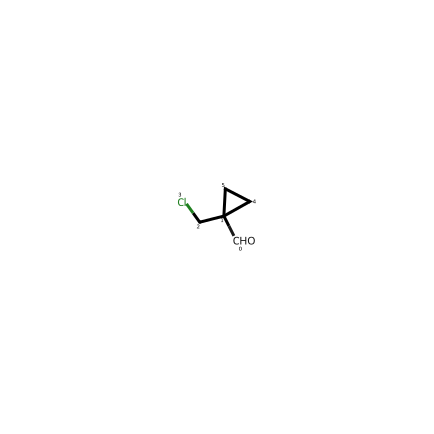 O=CC1(CCl)CC1